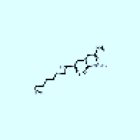 CCCCCCCCCCCCCCCCNC(=O)CN(CC(N)=O)C(=O)CCCCC